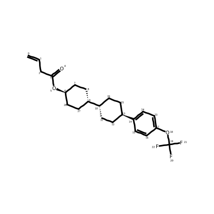 C=CCC(=O)O[C@H]1CC[C@H]([C@H]2CC[C@H](c3ccc(OC(F)(F)F)cc3)CC2)CC1